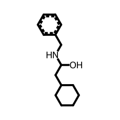 OC(CC1CCCCC1)NCc1ccccc1